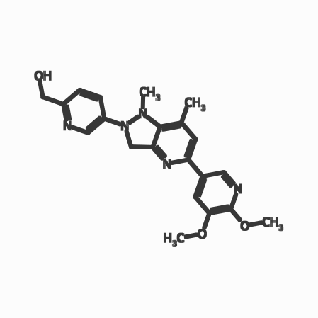 COc1cc(-c2cc(C)c3c(n2)CN(c2ccc(CO)nc2)N3C)cnc1OC